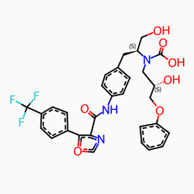 O=C(Nc1ccc(C[C@@H](CO)N(C[C@H](O)COc2ccccc2)C(=O)O)cc1)c1ncoc1-c1ccc(C(F)(F)F)cc1